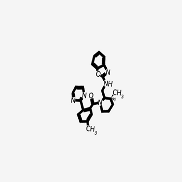 Cc1ccc(-c2ncccn2)c(C(=O)N2CCC[C@@H](C)C2CNc2nc3ccccc3o2)c1